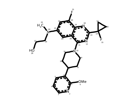 COc1ncccc1C1CCN(c2nc(C3(F)CC3)nc3c(F)cc(N(C)CCO)cc23)CC1